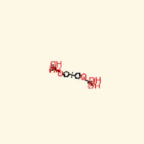 CC(C)(c1ccc(OCCC[Si](C)(O)O)cc1)c1ccc(OCCC[Si](C)(O)O)cc1